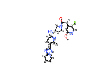 COc1cc([C@@H](C)C(=O)N2CC[C@H](Nc3ccc(-c4nc5ccccn5n4)c(C)n3)C2)c(F)cn1